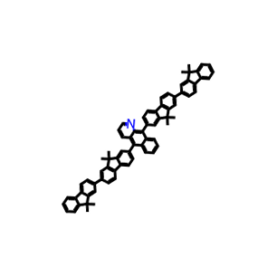 CC1(C)c2ccccc2-c2ccc(-c3ccc4c(c3)C(C)(C)c3cc(-c5c6ccccc6c(-c6ccc7c(c6)C(C)(C)c6cc(-c8ccc9c(c8)C(C)(C)c8ccccc8-9)ccc6-7)c6ncccc56)ccc3-4)cc21